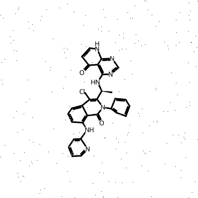 C[C@H](Nc1ncnc2[nH]ccc(=O)c12)c1c(Cl)c2cccc(Nc3ccccn3)c2c(=O)n1-c1ccccc1